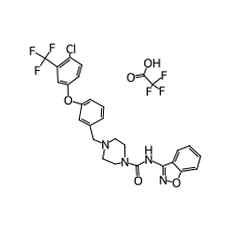 O=C(Nc1noc2ccccc12)N1CCN(Cc2cccc(Oc3ccc(Cl)c(C(F)(F)F)c3)c2)CC1.O=C(O)C(F)(F)F